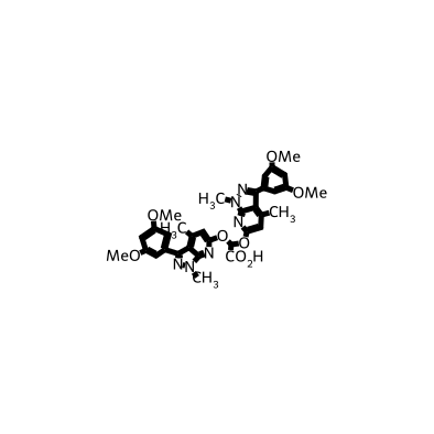 COc1cc(OC)cc(-c2nn(C)c3nc(OC(Oc4cc(C)c5c(-c6cc(OC)cc(OC)c6)nn(C)c5n4)C(=O)O)cc(C)c23)c1